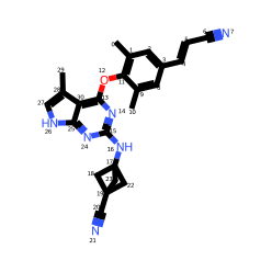 Cc1cc(/C=C/C#N)cc(C)c1Oc1nc(NC23CC(C#N)(C2)C3)nc2[nH]cc(C)c12